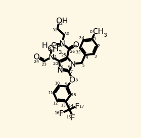 Cc1ccc(Cn2c(Oc3cccc(C(F)(F)F)c3)nc(N(C)C=O)c2C(=O)N(C)CCO)cc1